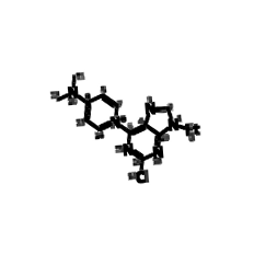 CCn1cnc2c(-[n+]3ccc(N(C)C)cc3)nc(Cl)nc21